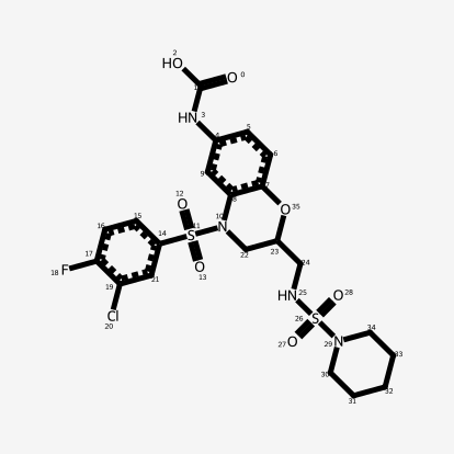 O=C(O)Nc1ccc2c(c1)N(S(=O)(=O)c1ccc(F)c(Cl)c1)CC(CNS(=O)(=O)N1CCCCC1)O2